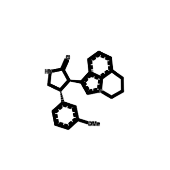 COc1cccc([C@@H]2CNC(=O)[C@H]2c2cn3c4c(cccc24)CCC3)c1